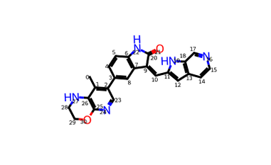 Cc1c(-c2ccc3c(c2)C(=Cc2cc4ccncc4[nH]2)C(=O)N3)cnc2c1NCCO2